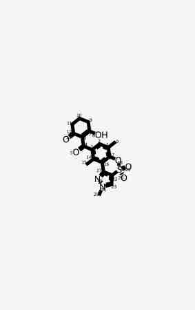 Cc1cc(C(=O)C2=C(O)CCCC2=O)c(C)c2c1OS(=O)(=O)c1cn(C)nc1-2